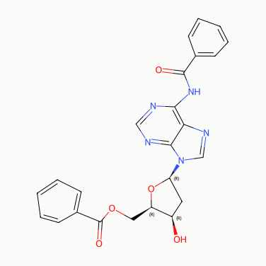 O=C(Nc1ncnc2c1ncn2[C@H]1C[C@@H](O)[C@@H](COC(=O)c2ccccc2)O1)c1ccccc1